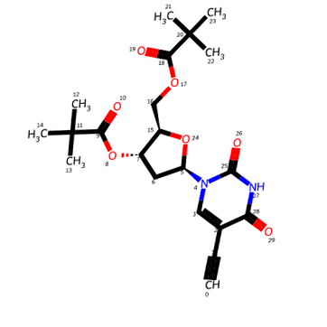 C#Cc1cn([C@H]2C[C@H](OC(=O)C(C)(C)C)[C@@H](COC(=O)C(C)(C)C)O2)c(=O)[nH]c1=O